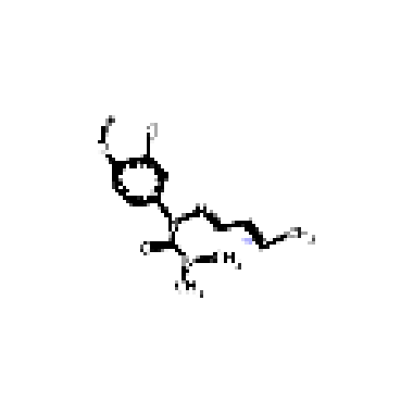 C/C=C/C=NN(C(=O)N(C)C)c1ccc(OC(C)C)c(Cl)c1